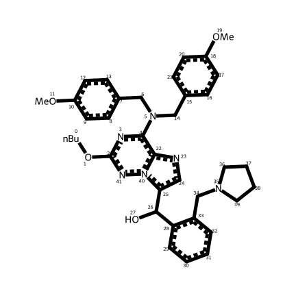 CCCCOc1nc(N(Cc2ccc(OC)cc2)Cc2ccc(OC)cc2)c2ncc(C(O)c3ccccc3CN3CCCC3)n2n1